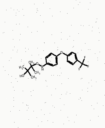 CC(C)(O)C(C)(C)OBc1ccc(Oc2ccc(C(F)(F)F)cc2)cc1